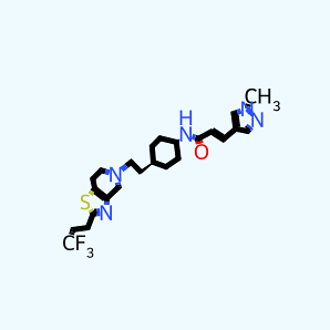 Cn1cc(/C=C/C(=O)N[C@H]2CC[C@H](CCN3CCc4sc(CCC(F)(F)F)nc4C3)CC2)cn1